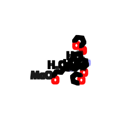 CC#CCC(C)[C@@H](/C=C\[C@H]1[C@H]2C/C(=C/CCCC(=O)OC)C[C@H]2C[C@H]1OC1CCCCO1)OC1CCCCO1